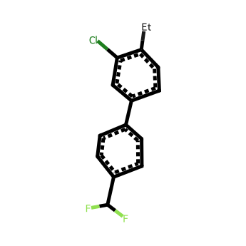 CCc1ccc(-c2ccc(C(F)F)cc2)cc1Cl